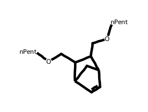 CCCCCOCC1C2C=CC(C2)C1COCCCCC